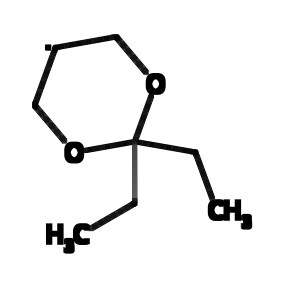 CCC1(CC)OC[CH]CO1